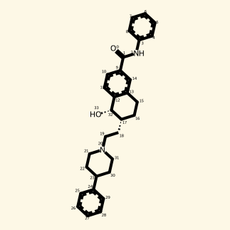 O=C(Nc1ccccc1)c1ccc2c(c1)CC[C@H](CCN1CCC(c3ccccc3)CC1)[C@@H]2O